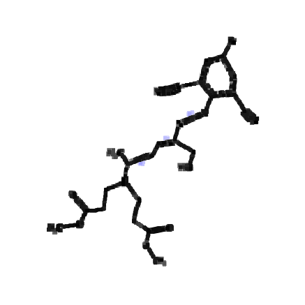 COC(=O)CCN(CCC(=O)OC)/C(C)=C/C=C(CO)/N=N/c1c(C#N)cc(Br)cc1C#N